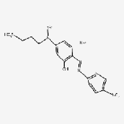 CCCN(CCCS(=O)(=O)O)c1ccc(N=Nc2ccc([N+](=O)[O-])cn2)c(O)c1.[Na+]